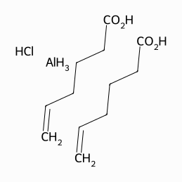 C=CCCCC(=O)O.C=CCCCC(=O)O.Cl.[AlH3]